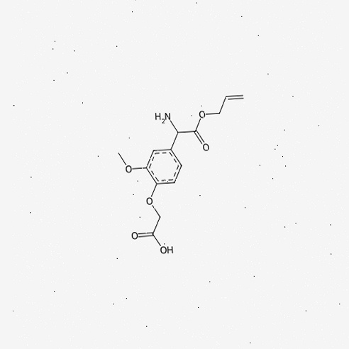 C=CCOC(=O)C(N)c1ccc(OCC(=O)O)c(OC)c1